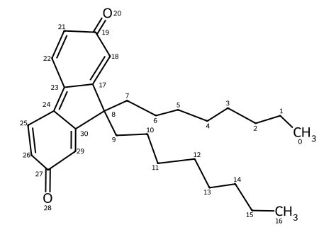 CCCCCCCCC1(CCCCCCCC)C2=CC(=O)C=CC2=C2C=CC(=O)C=C21